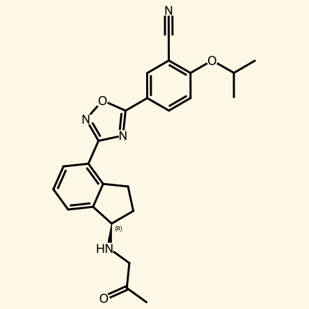 CC(=O)CN[C@@H]1CCc2c(-c3noc(-c4ccc(OC(C)C)c(C#N)c4)n3)cccc21